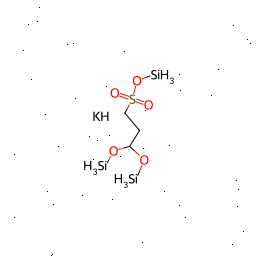 O=S(=O)(CCC(O[SiH3])O[SiH3])O[SiH3].[KH]